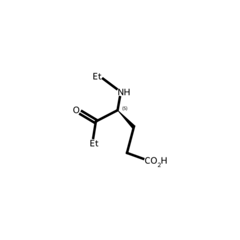 CCN[C@@H](CCC(=O)O)C(=O)CC